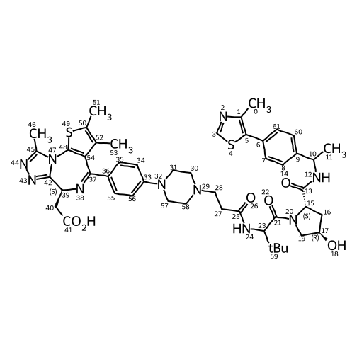 Cc1ncsc1-c1ccc(C(C)NC(=O)[C@@H]2C[C@@H](O)CN2C(=O)C(NC(=O)CCN2CCN(c3ccc(C4=N[C@@H](CC(=O)O)c5nnc(C)n5-c5sc(C)c(C)c54)cc3)CC2)C(C)(C)C)cc1